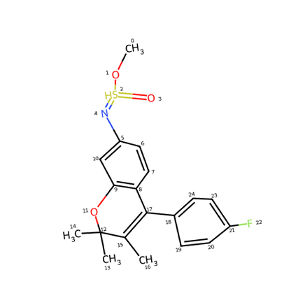 CO[SH](=O)=Nc1ccc2c(c1)OC(C)(C)C(C)=C2c1ccc(F)cc1